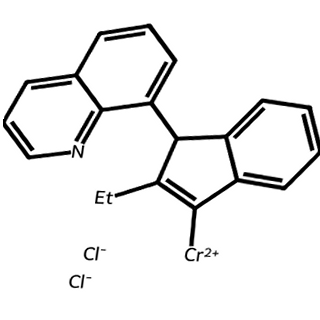 CCC1=[C]([Cr+2])c2ccccc2C1c1cccc2cccnc12.[Cl-].[Cl-]